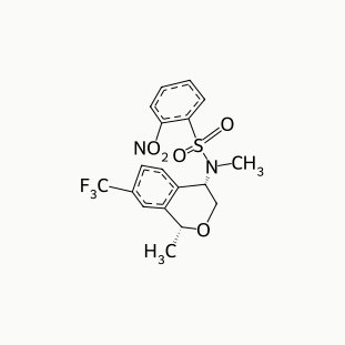 C[C@H]1OC[C@@H](N(C)S(=O)(=O)c2ccccc2[N+](=O)[O-])c2ccc(C(F)(F)F)cc21